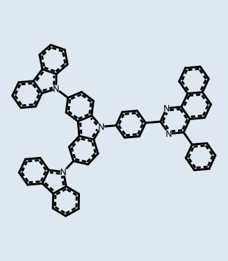 c1ccc(-c2nc(-c3ccc(-n4c5ccc(-n6c7ccccc7c7ccccc76)cc5c5cc(-n6c7ccccc7c7ccccc76)ccc54)cc3)nc3c2ccc2ccccc23)cc1